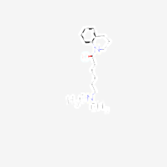 CN(C)CCCCCC(=O)N1CCCc2ccccc21